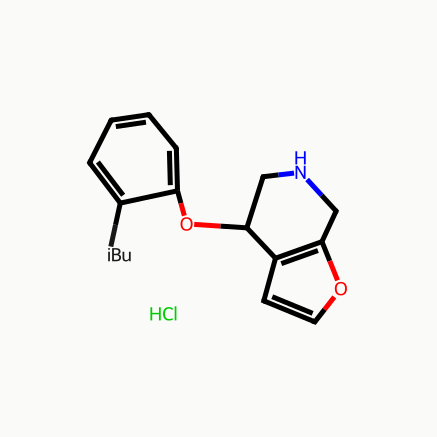 CCC(C)c1ccccc1OC1CNCc2occc21.Cl